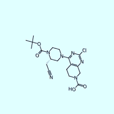 CC(C)(C)OC(=O)N1CCN(c2nc(Cl)nc3c2CCN(C(=O)O)C3)C[C@@H]1CC#N